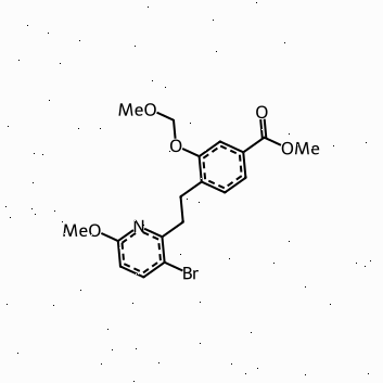 COCOc1cc(C(=O)OC)ccc1CCc1nc(OC)ccc1Br